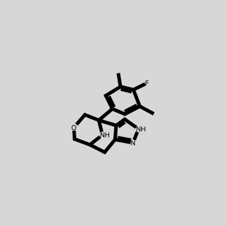 Cc1cc(C23COCC(Cc4n[nH]cc42)N3)cc(C)c1F